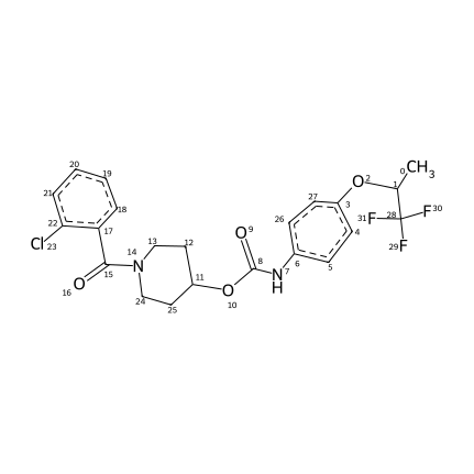 CC(Oc1ccc(NC(=O)OC2CCN(C(=O)c3ccccc3Cl)CC2)cc1)C(F)(F)F